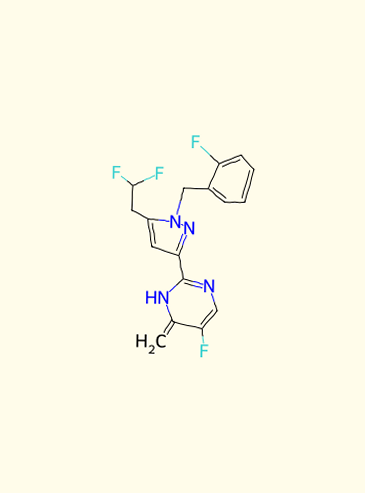 C=C1NC(c2cc(CC(F)F)n(Cc3ccccc3F)n2)=NC=C1F